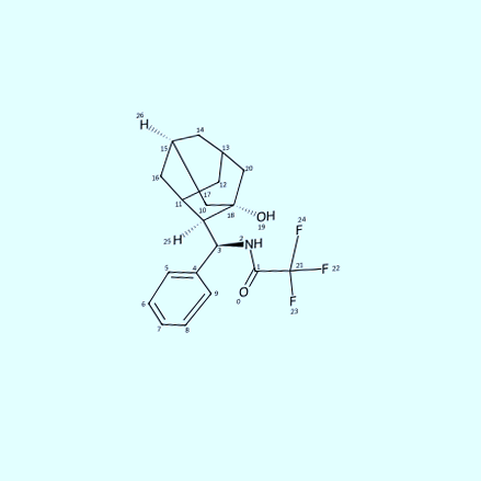 O=C(N[C@@H](c1ccccc1)[C@H]1C2CC3C[C@H](C2)C[C@@]1(O)C3)C(F)(F)F